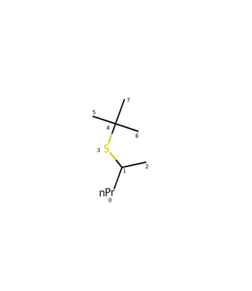 CCCC(C)SC(C)(C)C